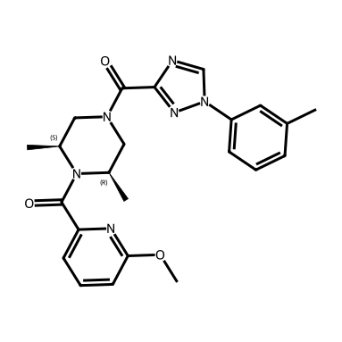 COc1cccc(C(=O)N2[C@H](C)CN(C(=O)c3ncn(-c4cccc(C)c4)n3)C[C@@H]2C)n1